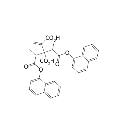 C=C(C(=O)O)C(C(=O)O)(C(C)C(=O)Oc1cccc2ccccc12)C(C)C(=O)Oc1cccc2ccccc12